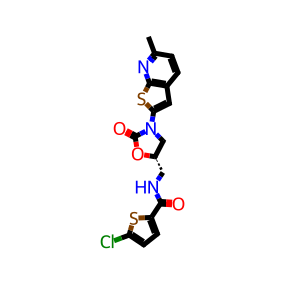 Cc1ccc2cc(N3C[C@H](CNC(=O)c4ccc(Cl)s4)OC3=O)sc2n1